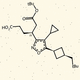 CC(C)(C)C[C@H]1C[C@@H](c2onc([C@@H](CCC(=O)O)CC(=O)OC(C)(C)C)c2C2CC2)C1